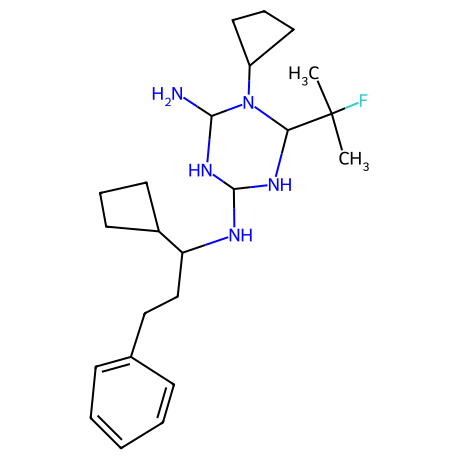 CC(C)(F)C1NC(NC(CCc2ccccc2)C2CCC2)NC(N)N1C1CCC1